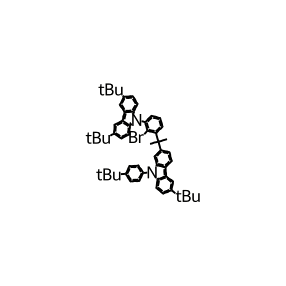 CC(C)(C)c1ccc(-n2c3ccc(C(C)(C)C)cc3c3ccc(C(C)(C)c4cccc(-n5c6ccc(C(C)(C)C)cc6c6cc(C(C)(C)C)ccc65)c4Br)cc32)cc1